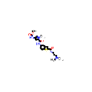 CN(C)CCCNC(=O)c1cc2cc(NC(=O)c3cc(NC(=O)OC(C)(C)C)cn3C)ccc2s1